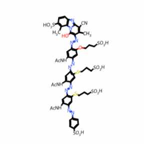 CC(=O)Nc1cc(N=Nc2cc(SCCCS(=O)(=O)O)c(N=Nc3cc(OCCCS(=O)(=O)O)c(N=Nc4c(C)c(C#N)c5nc6ccc(S(=O)(=O)O)c(C)c6n5c4O)cc3NC(C)=O)cc2NC(C)=O)c(SCCCS(=O)(=O)O)cc1N=Nc1ccc(S(=O)(=O)O)cc1